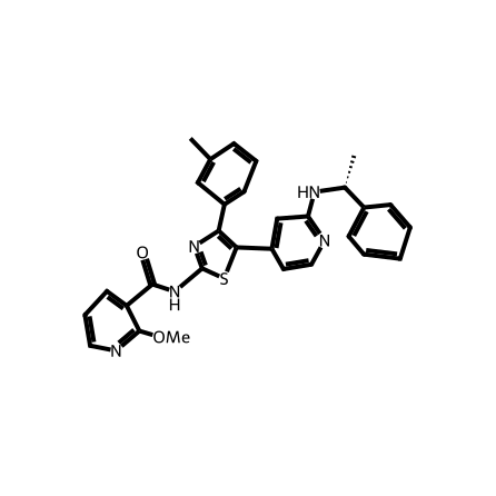 COc1ncccc1C(=O)Nc1nc(-c2cccc(C)c2)c(-c2ccnc(N[C@H](C)c3ccccc3)c2)s1